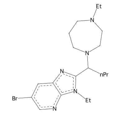 CCCC(c1nc2cc(Br)cnc2n1CC)N1CCCN(CC)CC1